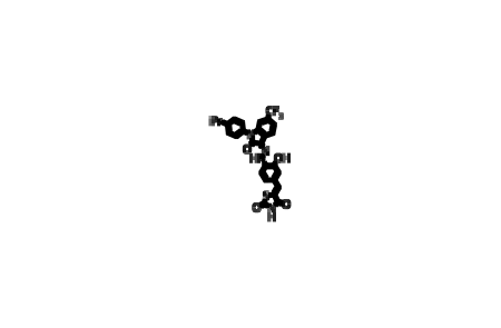 CC(C)c1ccc(N2C(=O)/C(=N\Nc3ccc(/C=C4\SC(=O)NC4=O)cc3O)c3ccc(C(F)(F)F)cc32)cc1